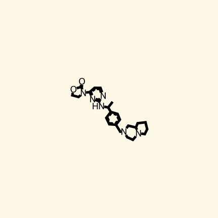 CC(Nc1nccc(N2CCOC2=O)n1)c1ccc(CN2CCN3CCCCC3C2)cc1